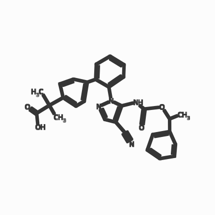 CC(OC(=O)Nc1c(C#N)cnn1-c1ccccc1-c1ccc(C(C)(C)C(=O)O)cc1)c1ccccc1